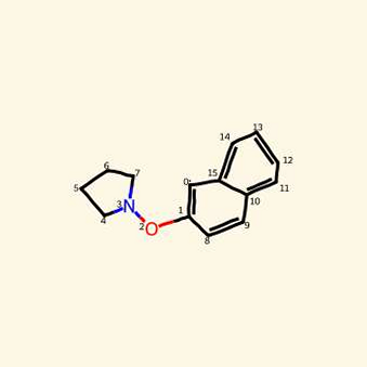 [c]1c(ON2CCCC2)ccc2ccccc12